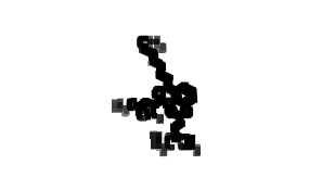 CCCCCCCCc1cccc(OC(=O)CCC(C)C)c1OC(=O)CCC(C)C